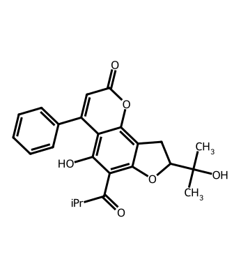 CC(C)C(=O)c1c2c(c3oc(=O)cc(-c4ccccc4)c3c1O)CC(C(C)(C)O)O2